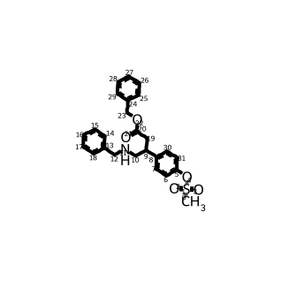 CS(=O)(=O)Oc1ccc(C(CNCc2ccccc2)CC(=O)OCc2ccccc2)cc1